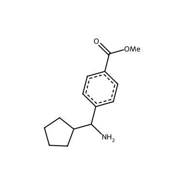 COC(=O)c1ccc(C(N)C2CCCC2)cc1